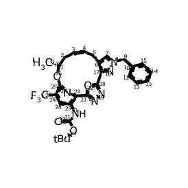 C[C@@H]1CC=CCc2cn(Cc3ccccc3)nc2-c2nnc(o2)-c2nc(c(C(F)(F)F)cc2NC(=O)OC(C)(C)C)O1